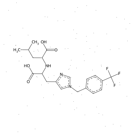 CC(C)CC(NC(Cc1cn(Cc2ccc(C(F)(F)F)cc2)cn1)C(=O)O)C(=O)O